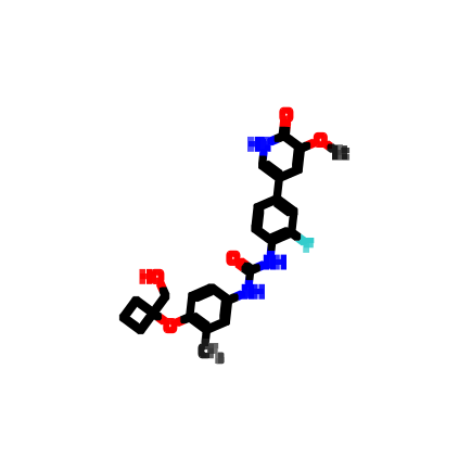 CCOc1cc(-c2ccc(NC(=O)Nc3ccc(OC4(CO)CCC4)c(C(F)(F)F)c3)c(F)c2)c[nH]c1=O